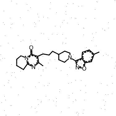 Cc1ccc2c(N3CCC(CCCc4c(C)nc5n(c4=O)CCCC5)CC3)noc2c1